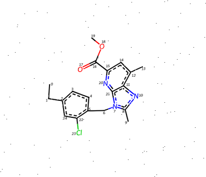 CCc1ccc(Cn2c(C)nc3c(C)cc(C(=O)OC)nc32)c(Cl)c1